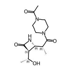 CC(=O)N1CCN(C(=O)[C@H](C)[C@H]2NC(=O)[C@@H]2[C@@H](C)O)CC1